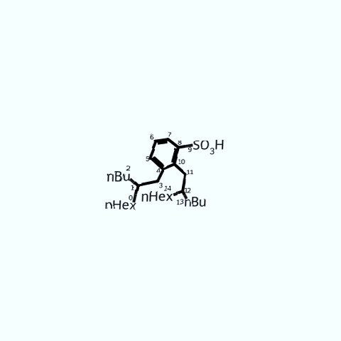 CCCCCCC(CCCC)Cc1cccc(S(=O)(=O)O)c1CC(CCCC)CCCCCC